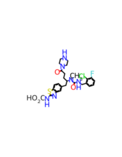 CN(C(=O)NCc1cccc(F)c1Cl)C(CCC(=O)N1CCNCC1)Cc1ccc2sc(NC(=O)O)nc2c1